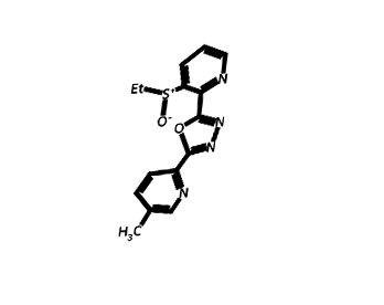 CC[S+]([O-])c1cccnc1-c1nnc(-c2ccc(C)cn2)o1